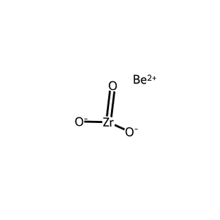 [Be+2].[O]=[Zr]([O-])[O-]